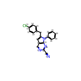 N#Cc1ncc2cc(Cc3ccc(Cl)cc3)n(-c3ccccc3)c2n1